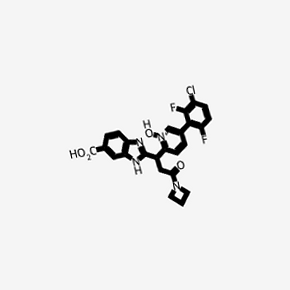 O=C(O)c1ccc2nc(C(CC(=O)N3CCC3)c3ccc(-c4c(F)ccc(Cl)c4F)c[n+]3O)[nH]c2c1